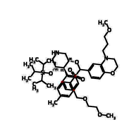 COCCCN1CCOc2ccc(C(O[C@H]3CNC[C@@H](O[Si](C(C)C)(C(C)C)C(C)C)[C@@H]3c3ccc(COCCOC)cc3)S(=O)(=O)c3ccc(C)cc3)cc21